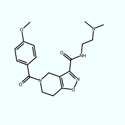 COc1ccc(C(=O)N2CCc3onc(C(=O)NCCN(C)C)c3C2)cc1